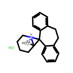 CC[N@+]12CCCCC1(C(=O)O)C21c2ccccc2CCc2ccccc21.Cl